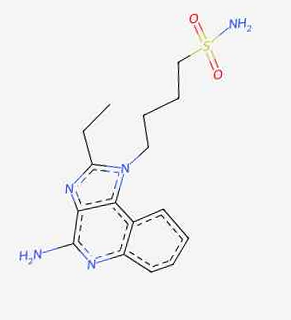 CCc1nc2c(N)nc3ccccc3c2n1CCCCS(N)(=O)=O